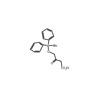 CCOC(=O)CC(=O)CO[Si](c1ccccc1)(c1ccccc1)C(C)(C)C